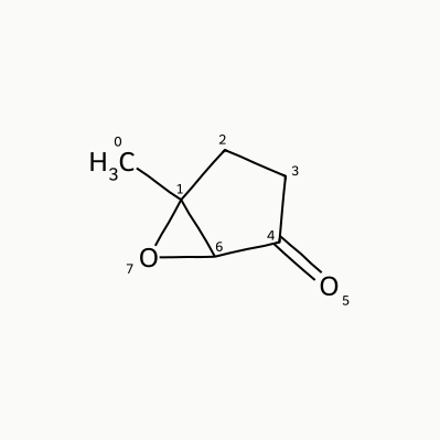 CC12CCC(=O)C1O2